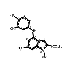 CCOC(=O)c1cc2c(Nc3ccc(F)c(Cl)c3)cc(C)cc2n1CC